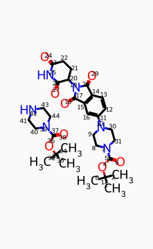 CC(C)(C)OC(=O)N1CCN(c2ccc3c(c2)C(=O)N(C2CCC(=O)NC2=O)C3=O)CC1.CC(C)(C)OC(=O)N1CCNCC1